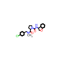 CN(Cc1ccc(Cl)cc1)C(=O)C1CCCN1C(=O)NC1COc2ccccc21